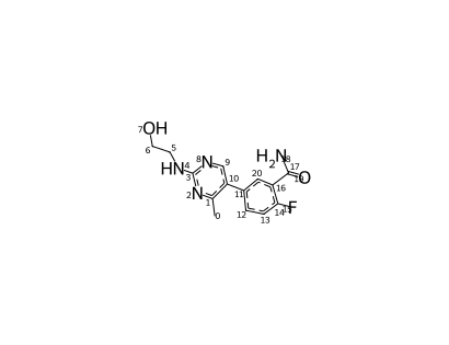 Cc1nc(NCCO)ncc1-c1ccc(F)c(C(N)=O)c1